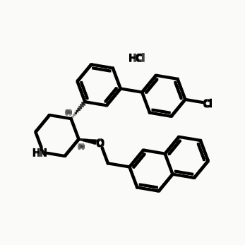 Cl.Clc1ccc(-c2cccc([C@H]3CCNC[C@@H]3OCc3ccc4ccccc4c3)c2)cc1